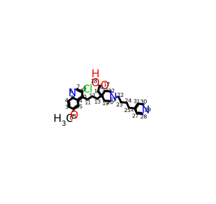 COc1ccc2ncc(Cl)c(CCCC3(CC(=O)O)CCN(CCCCc4ccncc4)CC3)c2c1